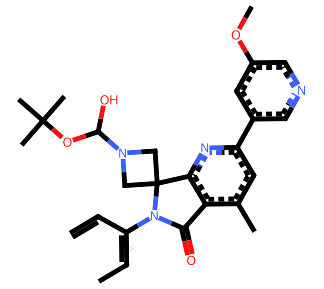 C=C/C(=C\C)N1C(=O)c2c(C)cc(-c3cncc(OC)c3)nc2C12CN(C(O)OC(C)(C)C)C2